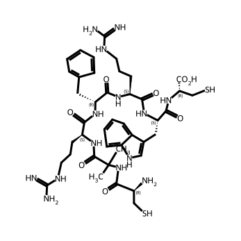 CC(C)(NC(=O)[C@@H](N)CS)C(=O)N[C@@H](CCCNC(=N)N)C(=O)N[C@H](Cc1ccccc1)C(=O)N[C@@H](CCCNC(=N)N)C(=O)N[C@@H](Cc1c[nH]c2ccccc12)C(=O)N[C@@H](CS)C(=O)O